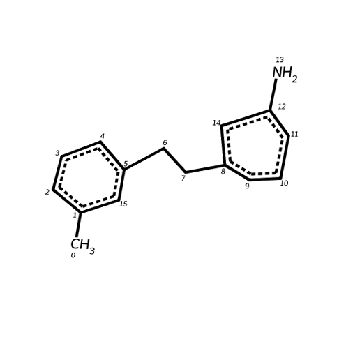 Cc1cccc(CCc2cccc(N)c2)c1